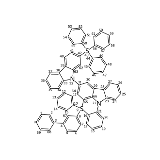 c1ccc(-c2cccc(S3(c4ccccc4)c4ccccc4-n4c5ccccc5c5cc(-n6c7ccccc7c7ccc(S(c8ccccc8)(c8ccccc8)c8ccccc8)cc76)cc3c54)c2)cc1